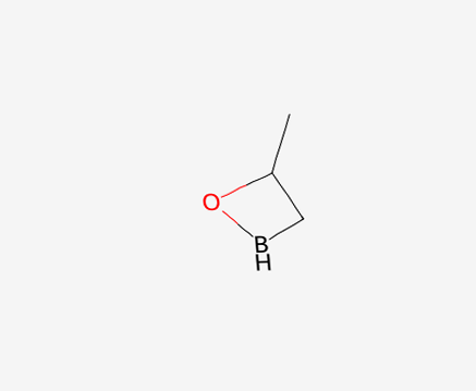 CC1CBO1